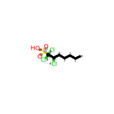 CCCCCC(Cl)C(Cl)(Cl)S(=O)(=O)O